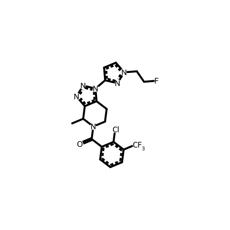 CC1c2nnn(-c3ccn(CCF)n3)c2CCN1C(=O)c1cccc(C(F)(F)F)c1Cl